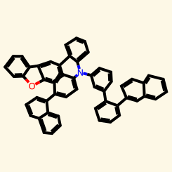 c1cc(-c2ccccc2-c2ccc3ccccc3c2)cc(N(c2ccc(-c3cccc4ccccc34)cc2)c2ccccc2-c2ccc3oc4ccccc4c3c2)c1